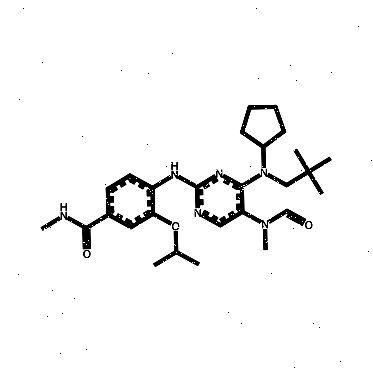 CNC(=O)c1ccc(Nc2ncc(N(C)C=O)c(N(CC(C)(C)C)C3CCCC3)n2)c(OC(C)C)c1